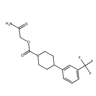 NC(=O)COC(=O)N1CCC(c2cccc(C(F)(F)F)c2)CC1